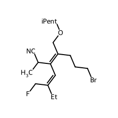 CCCC(C)OC/C(CCCBr)=C(/C=C(/CC)CF)C(C)C#N